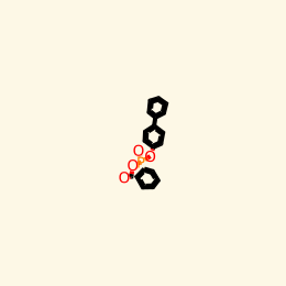 O=COP(=O)(Oc1ccc(-c2ccccc2)cc1)c1ccccc1